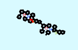 Cc1ccc(N(c2cc3sc4cc5ccccc5cc4c3c3ccccc23)c2cccc3c2oc2c(-c4ccccc4)cc(-c4ccc5cc6c(cc5c4)sc4cc(N(c5ccccc5-c5ccccc5)c5cccc7c5oc5c(-c8ccccc8)cccc57)c5ccccc5c46)cc23)cc1